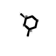 C[C@@H]1C[N]C[C@@H](C)O1